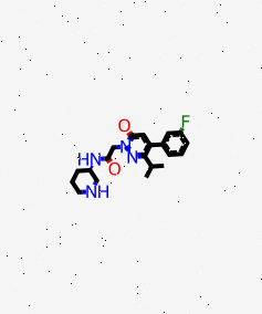 CC(C)c1nn(CC(=O)N[C@@H]2CCCNC2)c(=O)cc1-c1cccc(F)c1